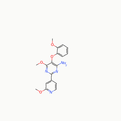 COc1cc(-c2nc(N)c(Oc3ccccc3OC)c(OC)n2)ccn1